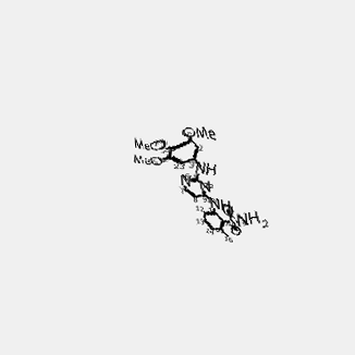 COc1cc(Nc2nccc(Nc3cccc(C)c3S(N)(=O)=O)n2)cc(OC)c1OC